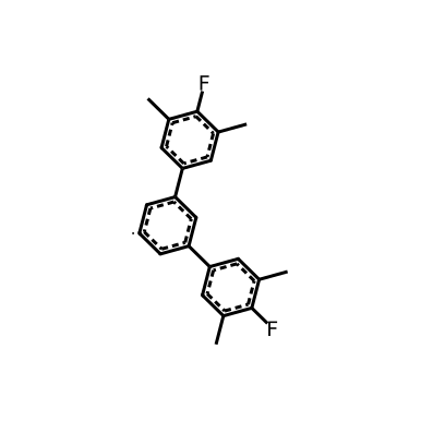 Cc1cc(-c2c[c]cc(-c3cc(C)c(F)c(C)c3)c2)cc(C)c1F